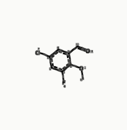 COc1c(F)cc(Cl)cc1C=O